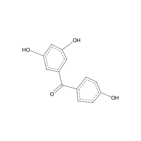 O=C(c1ccc(O)cc1)c1cc(O)cc(O)c1